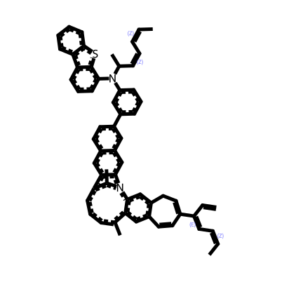 C=C/C(=C\C=C/C)C1=CCc2cc3c(cc2C=C1)c(C)cccc1c(C)n3c2cc3cc(-c4cccc(N(c5cccc6c5sc5ccccc56)C(C)/C=C\C=C/C)c4)ccc3cc12